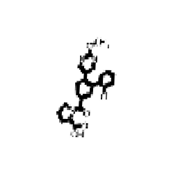 COc1ncc(-c2ccc(C(=O)N3CCCC3C(=O)O)cc2-c2ccccc2Cl)cn1